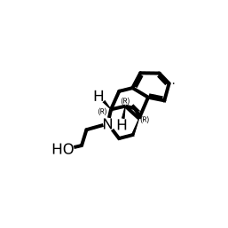 OCCN1CC[C@]23CCCC[C@H]2[C@H]1Cc1cc[c]cc13